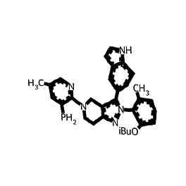 Cc1cnc(N2CCc3nn(-c4c(C)cccc4OCC(C)C)c(-c4ccc5[nH]ccc5c4)c3C2)c(P)c1